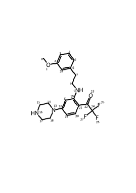 COc1cccc(CCNc2cc(N3CCNCC3)ccc2C(=O)C(F)(F)F)c1